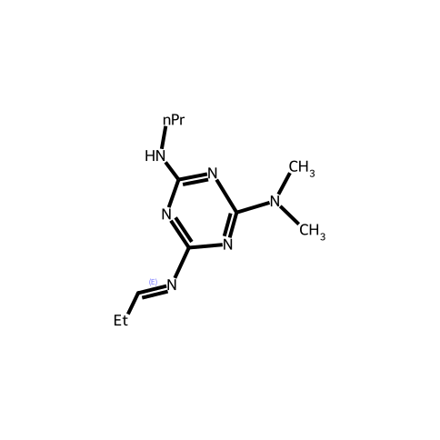 CC/C=N/c1nc(NCCC)nc(N(C)C)n1